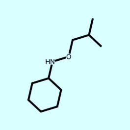 CC(C)CONC1CCCCC1